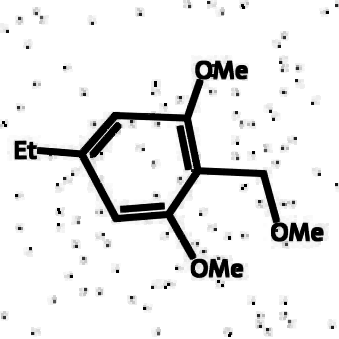 CCc1cc(OC)c(COC)c(OC)c1